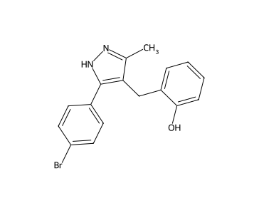 Cc1n[nH]c(-c2ccc(Br)cc2)c1Cc1ccccc1O